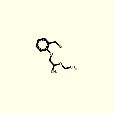 CCOC(C)COc1ccccc1CBr